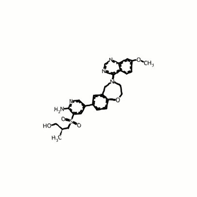 COc1ccc2c(N3CCOc4ccc(-c5cnc(N)c(S(=O)(=O)C[C@@H](C)CO)c5)cc4C3)ncnc2c1